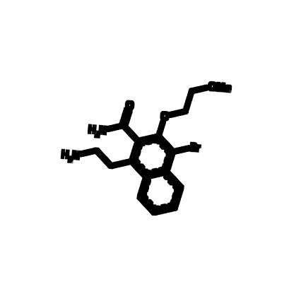 COCCOc1c(C(N)=O)c(CCN)c2ccccc2c1Br